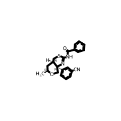 C[C@H]1C[C@H]2CSC(NC(=O)c3ccccc3)=N[C@@]2(c2cccc(C#N)c2)CO1